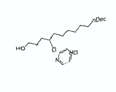 CCCCCCCCCCCCCCCCC(Cl)CCCO.Cl.c1ccncc1